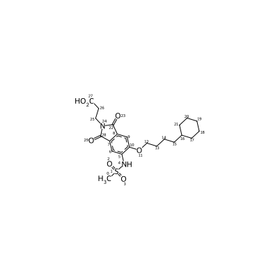 CS(=O)(=O)Nc1cc2c(cc1OCCCCC1CCCCC1)C(=O)N(CCC(=O)O)C2=O